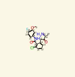 COc1cc(NC(=O)c2c(Cl)cccc2CC(=O)[C@H](C)N)ccc1F